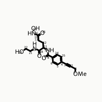 COCC#Cc1ccc(C(=O)NC(CCC(=O)NO)C(=O)NCCO)cc1